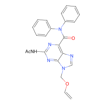 C=COCn1cnc2c(C(=O)N(c3ccccc3)c3ccccc3)nc(NC(C)=O)nc21